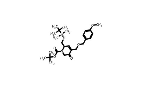 COc1ccc(COCC2=CC(CO[Si](C)(C)C(C)(C)C)N(C(=O)OC(C)(C)C)CC2=O)cc1